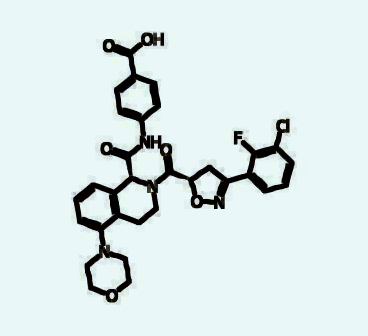 O=C(O)c1ccc(NC(=O)[C@@H]2c3cccc(N4CCOCC4)c3CCN2C(=O)[C@H]2CC(c3cccc(Cl)c3F)=NO2)cc1